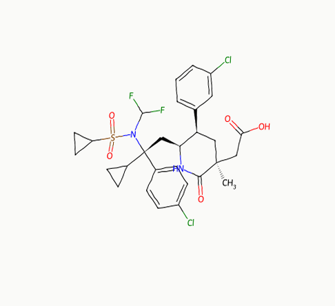 C[C@@]1(CC(=O)O)C[C@H](c2cccc(Cl)c2)[C@H](C[C@@](c2ccc(Cl)cc2)(C2CC2)N(C(F)F)S(=O)(=O)C2CC2)NC1=O